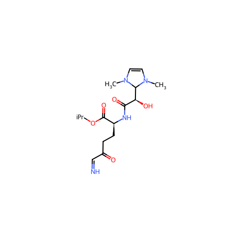 CC(C)OC(=O)[C@H](CCC(=O)C=N)NC(=O)[C@H](O)C1N(C)C=CN1C